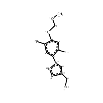 COCOc1cc(F)c(-n2cc(CO)nn2)cc1F